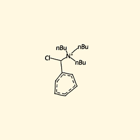 CCCC[N+](CCCC)(CCCC)C(Cl)c1ccccc1